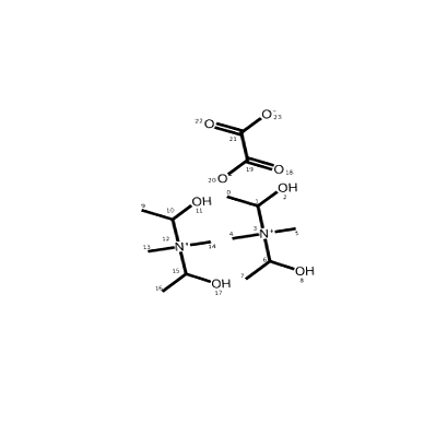 CC(O)[N+](C)(C)C(C)O.CC(O)[N+](C)(C)C(C)O.O=C([O-])C(=O)[O-]